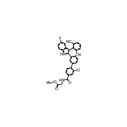 CC(C)(C)OC(=O)CNC(=O)c1ccc(-c2cccc(-c3[nH]c4ccc(F)cc4c3-c3c(C#N)cccc3C#N)c2)c(Cl)c1